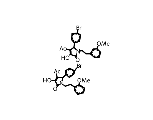 COc1cccc(CCN2C(=O)C(O)=C(C(C)=O)C2c2ccc(Br)cc2)c1.COc1ccccc1CCN1C(=O)C(O)=C(C(C)=O)C1c1ccc(Br)cc1